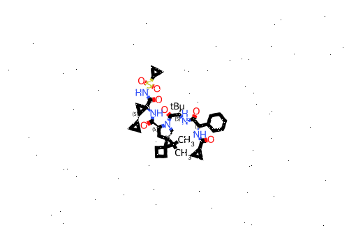 CC(C)(C)[C@H](NC(=O)[C@@H](NC(=O)C1CC1)C1CCCCC1)C(=O)N1C[C@]2(C[C@H]1C(=O)N[C@]1(C(=O)NS(=O)(=O)C3CC3)C[C@H]1C1CC1)C(C)(C)C21CCC1